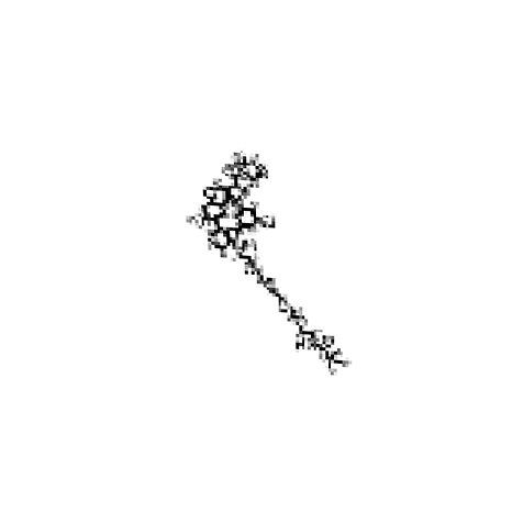 COc1cc2c(cc1-c1cncc(NCCOCCOCCOCCOCCNC(=O)OC(C)(C)C)c1)-c1c(c(C(=O)N3CCOCC3(C)C)nn1-c1cc(Cl)cc(Cl)c1)CO2